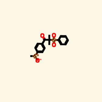 C[S+]([O-])c1ccc(C(=O)C(C)(C)S(=O)(=O)c2ccccc2)cc1